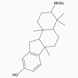 CC(=O)NC1CCC2(C)C3Cc4cc(O)ccc4C3(C)CCC2C1(C)C